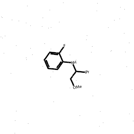 COCC(Nc1ccccc1F)C(C)C